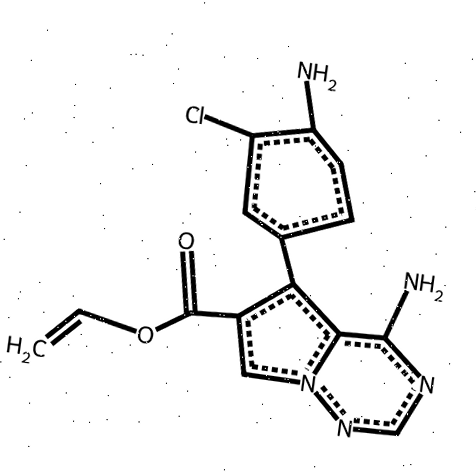 C=COC(=O)c1cn2ncnc(N)c2c1-c1ccc(N)c(Cl)c1